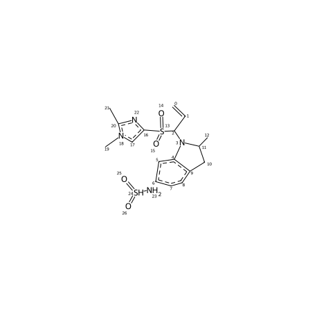 C=CC(N1c2ccccc2CC1C)S(=O)(=O)c1cn(C)c(C)n1.N[SH](=O)=O